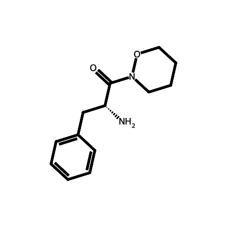 N[C@H](Cc1ccccc1)C(=O)N1CCCCO1